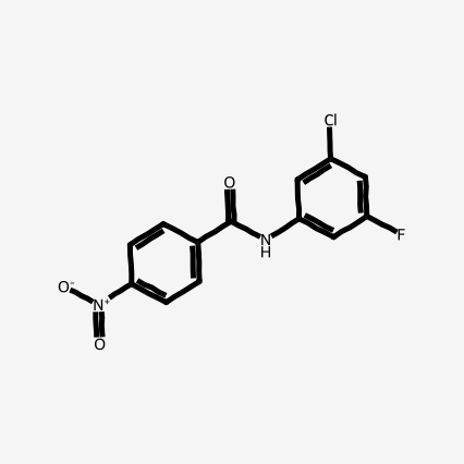 O=C(Nc1cc(F)cc(Cl)c1)c1ccc([N+](=O)[O-])cc1